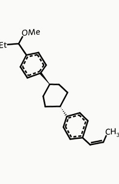 C/C=C\c1ccc([C@H]2CC[C@H](c3ccc(C(CC)OC)cc3)CC2)cc1